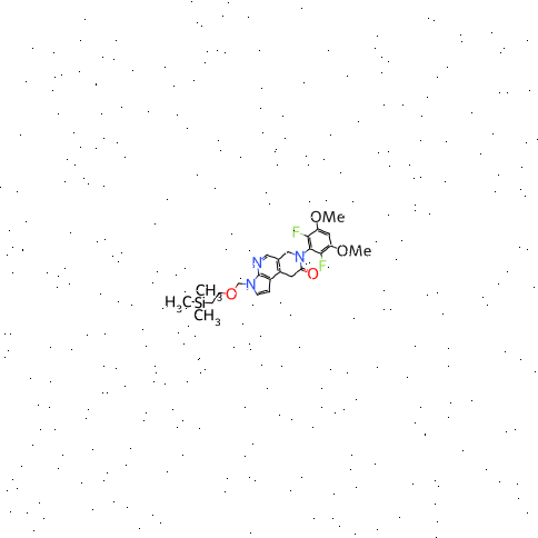 COc1cc(OC)c(F)c(N2Cc3cnc4c(ccn4COCC[Si](C)(C)C)c3CC2=O)c1F